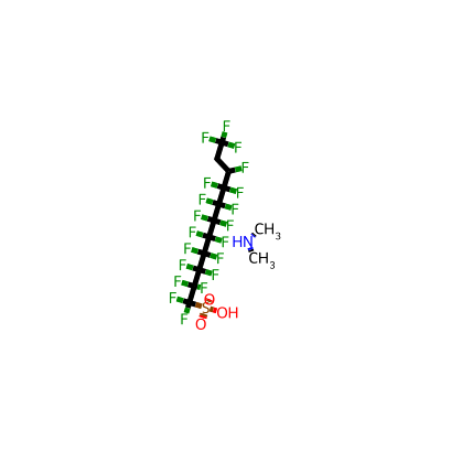 CNC.O=S(=O)(O)C(F)(F)C(F)(F)C(F)(F)C(F)(F)C(F)(F)C(F)(F)C(F)(F)C(F)(F)C(F)CC(F)(F)F